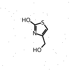 OCc1csc(O)n1